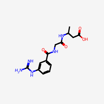 C[C](CC(=O)O)NC(=O)CNC(=O)c1cccc(NC(=N)N)c1